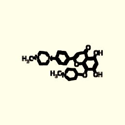 CN1CCC(Oc2c(O)cc(O)c3c(=O)cc(-c4ccc(N5CCN(C)CC5)cc4)oc23)CC1